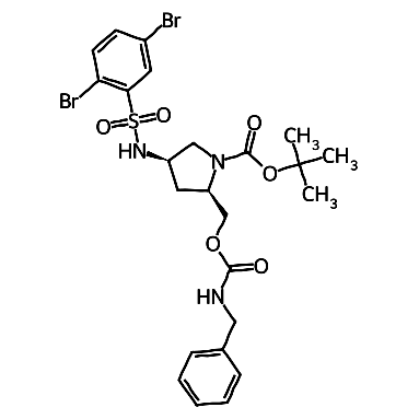 CC(C)(C)OC(=O)N1C[C@H](NS(=O)(=O)c2cc(Br)ccc2Br)C[C@@H]1COC(=O)NCc1ccccc1